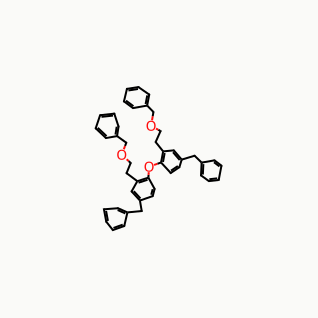 c1ccc(COCCc2cc(Cc3ccccc3)ccc2Oc2ccc(Cc3ccccc3)cc2CCOCc2ccccc2)cc1